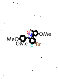 COc1ccc(CN2OCC3CC(OC)CC32c2ccc(F)c(Br)c2)c(OC)c1